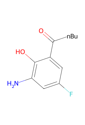 CCCCC(=O)c1cc(F)cc(N)c1O